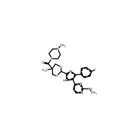 CNc1nccc(-c2[nH]c(C3OCC(C)(C(=O)N4CCN(C)CC4)CO3)nc2-c2ccc(F)cc2)n1